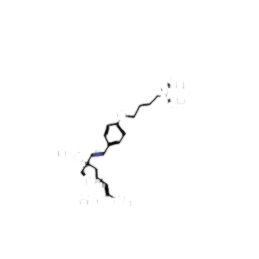 C=C[C@@](C)(/C=C/c1ccc(OCCCCN(C)C)cc1)CCC=C(C)C